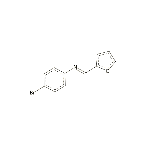 Brc1ccc(N=Cc2ccco2)cc1